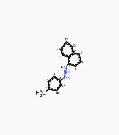 Cc1ccc(/N=N/c2cccc3ccccc23)cc1